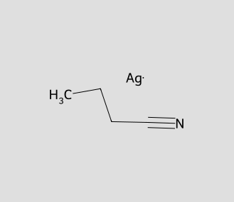 CCCC#N.[Ag]